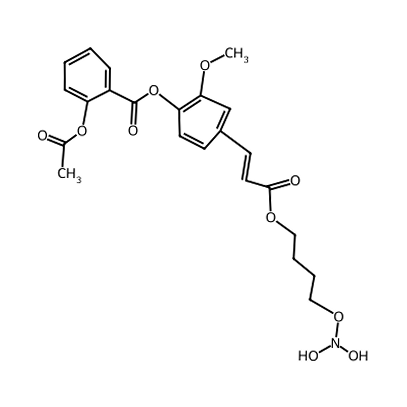 COc1cc(/C=C/C(=O)OCCCCON(O)O)ccc1OC(=O)c1ccccc1OC(C)=O